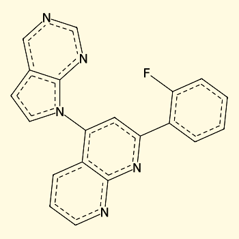 Fc1ccccc1-c1cc(-n2ccc3cncnc32)c2cccnc2n1